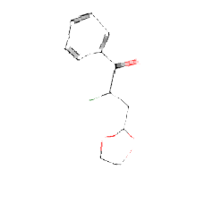 O=C(c1ccccc1)C(Cl)CC1OCCO1